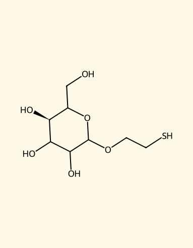 OCC1OC(OCCS)C(O)C(O)[C@H]1O